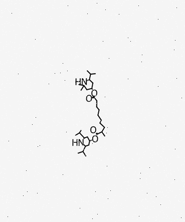 CC(CCCCCCCC(=O)OC1CC(C(C)C)NC(C)(C)C1)C(=O)OC1CC(C(C)C)NC(C(C)C)C1